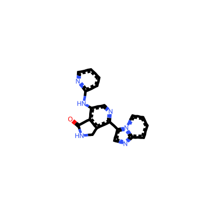 O=C1NCc2c(-c3cnc4ccccn34)ncc(Nc3ccccn3)c21